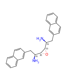 N[C@@H](Cc1ccc2ccccc2c1)[C@@H]1O[C@@H]1[C@@H](N)Cc1ccc2ccccc2c1